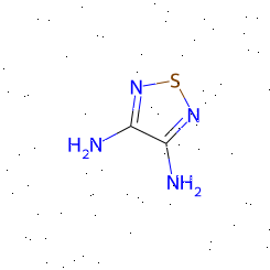 Nc1nsnc1N